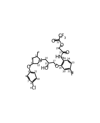 CC1CC(Oc2ccc(Cl)cc2)CN1C[C@H](O)COc1cc(F)ccc1NC(=O)COC(=O)C(F)(F)F